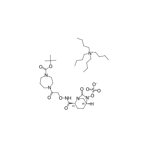 CC(C)(C)OC(=O)N1CCCN(C(=O)CONC(=O)[C@@H]2CC[C@@H]3CN2C(=O)N3OS(=O)(=O)[O-])CC1.CCCC[N+](CCCC)(CCCC)CCCC